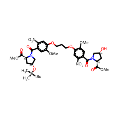 COC(=O)[C@@H]1C[C@@H](O)CN1C(=O)c1cc(OC)c(OCCCOc2cc([N+](=O)[O-])c(C(=O)N3C[C@H](O[Si](C)(C)C(C)(C)C)C[C@H]3C(=O)OC)cc2OC)cc1[N+](=O)[O-]